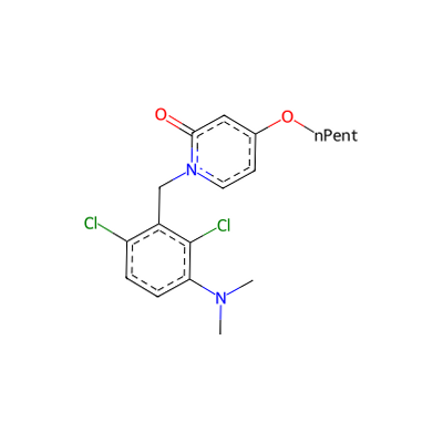 CCCCCOc1ccn(Cc2c(Cl)ccc(N(C)C)c2Cl)c(=O)c1